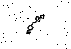 Clc1ccc(C=Cc2ccc(Br)cc2)s1